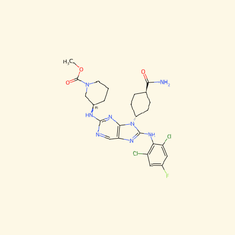 COC(=O)N1CCC[C@@H](Nc2ncc3nc(Nc4c(Cl)cc(F)cc4Cl)n([C@H]4CC[C@H](C(N)=O)CC4)c3n2)C1